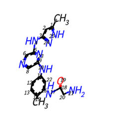 Cc1cc(Nc2cncc(Nc3ccc(C)c(NC(=O)CN)c3)n2)n[nH]1